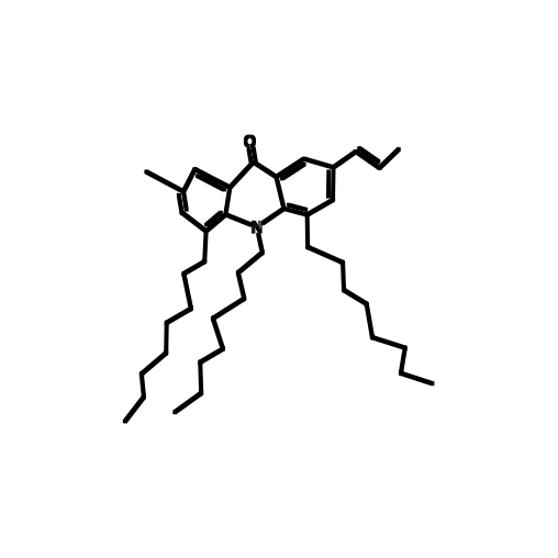 CC=Cc1cc(CCCCCCCC)c2c(c1)c(=O)c1cc(C)cc(CCCCCCCC)c1n2CCCCCCCC